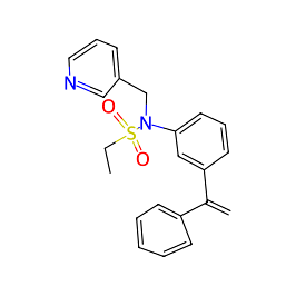 C=C(c1ccccc1)c1cccc(N(Cc2cccnc2)S(=O)(=O)CC)c1